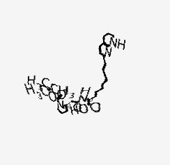 CC(C)(C)OC(=O)N1CCC[C@H]1CC(=O)N[C@@H](CCCCCCCc1ccc2c(n1)NCCC2)C(=O)O